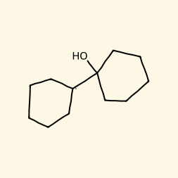 OC1([C]2CCCCC2)CCCCC1